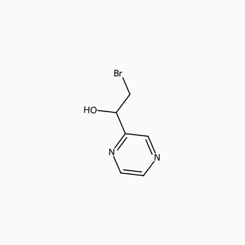 OC(CBr)c1cnccn1